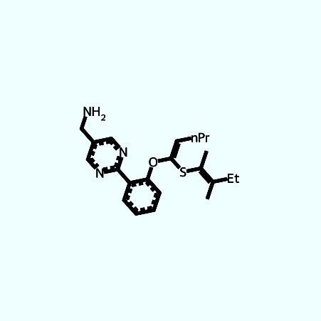 CCC/C=C(/Oc1ccccc1-c1ncc(CN)cn1)S/C(C)=C(\C)CC